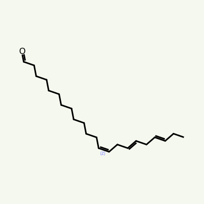 CCC=CCC=CC/C=C\CCCCCCCCCCCC=O